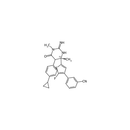 CN1C(=N)N[C@](C)(c2cc(-c3cccc(C#N)c3)c(F)s2)C(c2ccc(C3CC3)cc2)C1=O